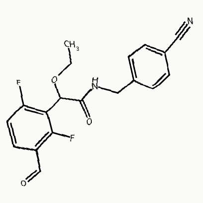 CCOC(C(=O)NCc1ccc(C#N)cc1)c1c(F)ccc(C=O)c1F